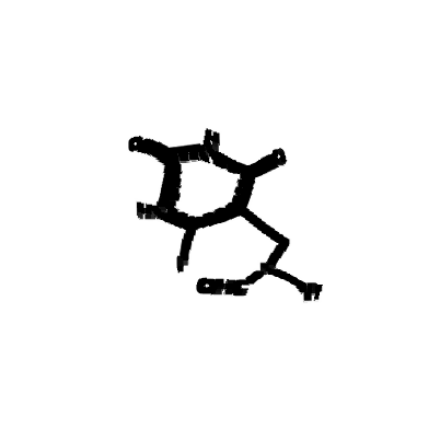 CC(C)N(C=O)Cc1c(F)[nH]c(=O)[nH]c1=O